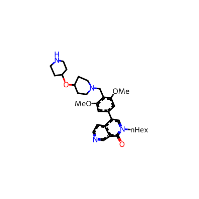 CCCCCCn1cc(-c2cc(OC)c(CN3CCC(OC4CCNCC4)CC3)c(OC)c2)c2ccncc2c1=O